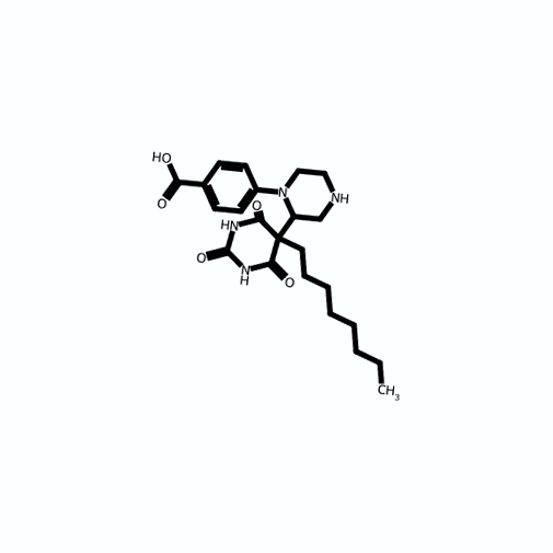 CCCCCCCCC1(C2CNCCN2c2ccc(C(=O)O)cc2)C(=O)NC(=O)NC1=O